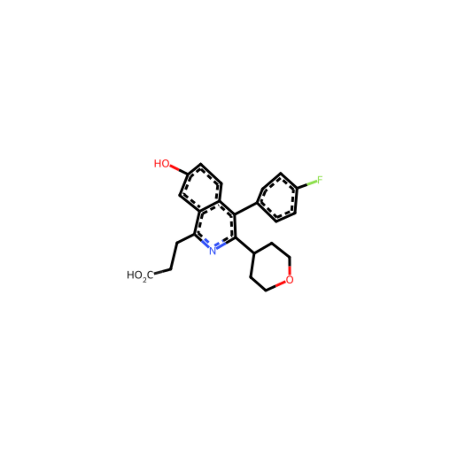 O=C(O)CCc1nc(C2CCOCC2)c(-c2ccc(F)cc2)c2ccc(O)cc12